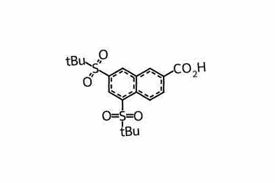 CC(C)(C)S(=O)(=O)c1cc(S(=O)(=O)C(C)(C)C)c2ccc(C(=O)O)cc2c1